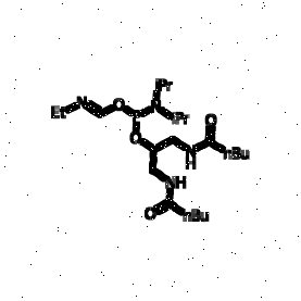 CCCCC(=O)NCC(CNC(=O)CCCC)OP(O/C=N/CC)N(C(C)C)C(C)C